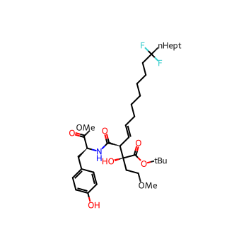 CCCCCCCC(F)(F)CCCCCC/C=C/[C@H](C(=O)N[C@@H](Cc1ccc(O)cc1)C(=O)OC)[C@@](O)(CCOC)C(=O)OC(C)(C)C